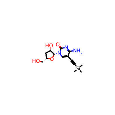 C[Si](C)(C)C#Cc1cn([C@@H]2O[C@H](CO)C[C@@H]2O)c(=O)nc1N